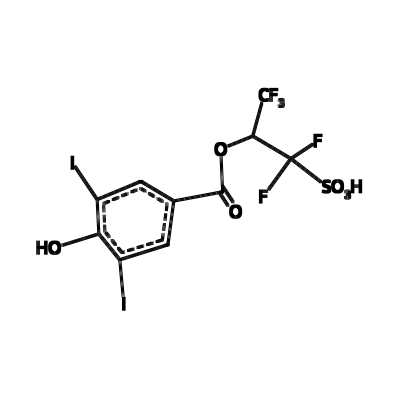 O=C(OC(C(F)(F)F)C(F)(F)S(=O)(=O)O)c1cc(I)c(O)c(I)c1